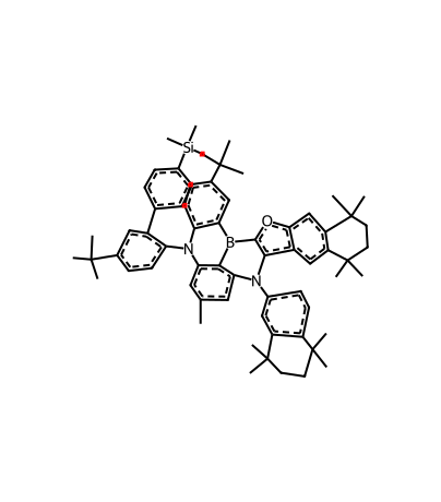 Cc1cc2c3c(c1)N(c1ccc4c(c1)C(C)(C)CCC4(C)C)c1c(oc4cc5c(cc14)C(C)(C)CCC5(C)C)B3c1cc(C(C)(C)C)ccc1N2c1ccc(C(C)(C)C)cc1-c1ccc([Si](C)(C)C)cc1